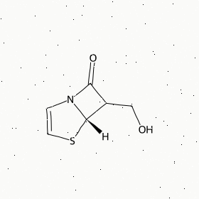 O=C1C(CO)[C@@H]2SC=CN12